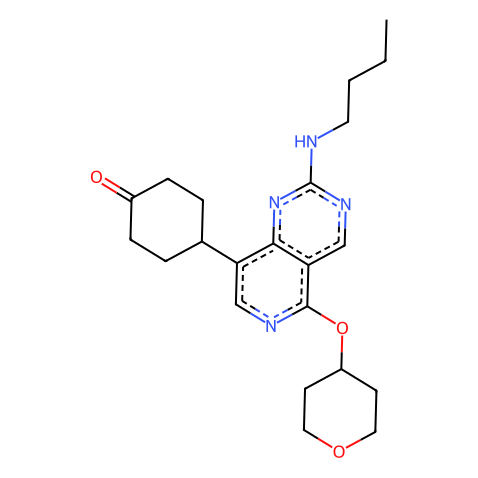 CCCCNc1ncc2c(OC3CCOCC3)ncc(C3CCC(=O)CC3)c2n1